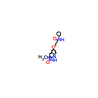 Cn1c(=O)[nH]c2nc3ccc(OCCCC(=O)NC4CCCCC4)cc3cc21